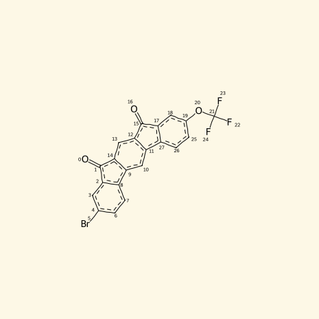 O=c1c2cc(Br)ccc2c2cc3c(cc12)c(=O)c1cc(OC(F)(F)F)ccc13